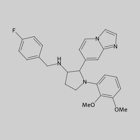 COc1cccc(N2CCC(NCc3ccc(F)cc3)C2c2ccn3ccnc3c2)c1OC